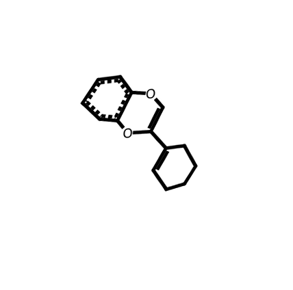 C1=C(C2=COc3ccccc3O2)CCCC1